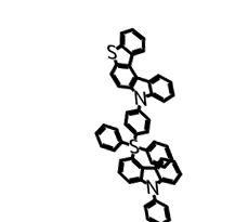 c1ccc(-n2c3ccccc3c3c(S(c4ccccc4)(c4ccccc4)c4ccc(-n5c6ccccc6c6c7c(ccc65)sc5ccccc57)cc4)cccc32)cc1